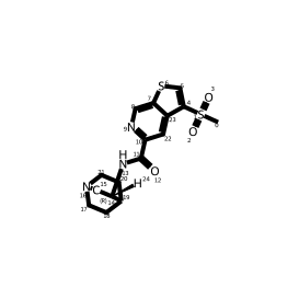 CS(=O)(=O)c1csc2cnc(C(=O)N[C@H]3CN4CCC3CC4)cc12